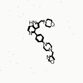 c1cc2[nH]c(CN3CCOCC3)cc2c(-c2ccc(N3CCN(Cc4cocn4)CC3)cc2)n1